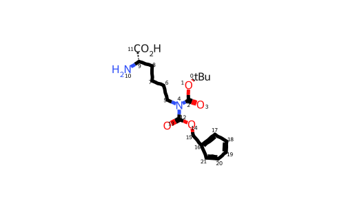 CC(C)(C)OC(=O)N(CCCC[C@H](N)C(=O)O)C(=O)OCc1ccccc1